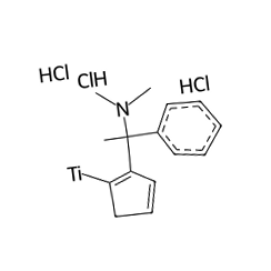 CN(C)C(C)(C1=[C]([Ti])CC=C1)c1ccccc1.Cl.Cl.Cl